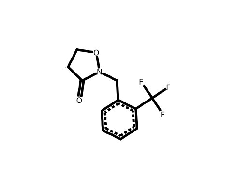 O=C1[CH]CON1Cc1ccccc1C(F)(F)F